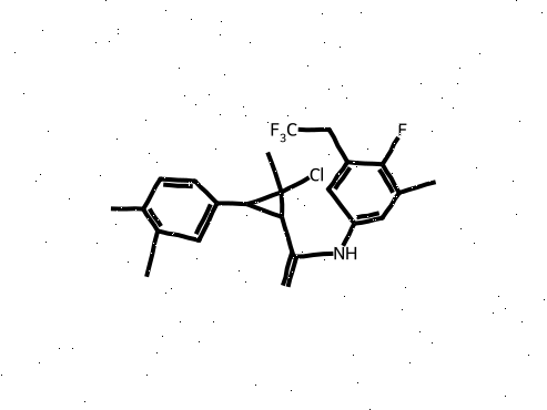 C=C(Nc1cc(C)c(F)c(CC(F)(F)F)c1)C1C(c2ccc(C)c(C)c2)C1(C)Cl